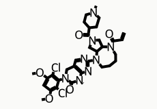 C=CC(=O)N1CCCCN(c2ncc3c(n2)N(C)C(=O)N(c2c(Cl)c(OC)cc(OC)c2Cl)C3)C2CN(C(=O)C3CCN(C)CC3)CC21